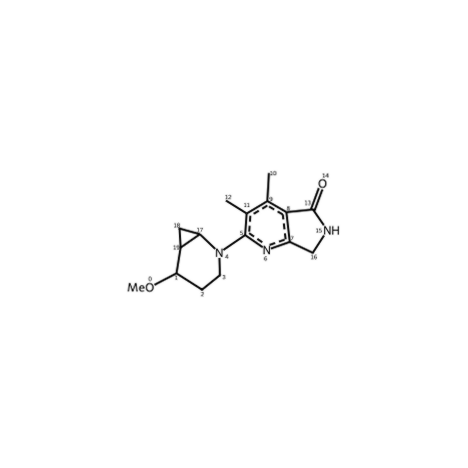 COC1CCN(c2nc3c(c(C)c2C)C(=O)NC3)C2CC12